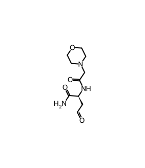 NC(=O)[C@H](CC=O)NC(=O)CN1CCOCC1